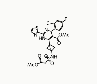 COC(=O)CS(=O)(=O)NC12CC(C3=C(C(=O)OC)C(c4ccc(F)cc4Cl)N=C(c4nccs4)N3)(C1)C2